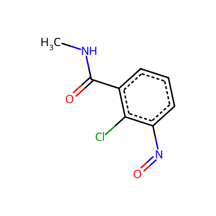 CNC(=O)c1cccc(N=O)c1Cl